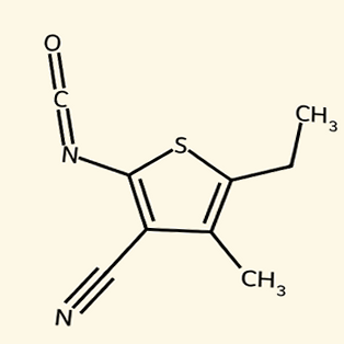 CCc1sc(N=C=O)c(C#N)c1C